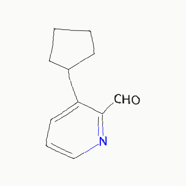 O=Cc1ncccc1C1CCCC1